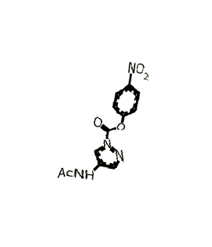 CC(=O)Nc1cnn(C(=O)Oc2ccc([N+](=O)[O-])cc2)c1